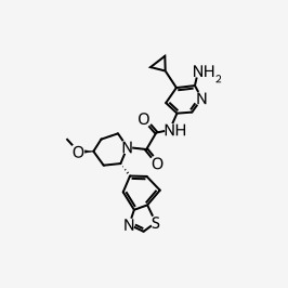 CO[C@H]1CCN(C(=O)C(=O)Nc2cnc(N)c(C3CC3)c2)[C@H](c2ccc3scnc3c2)C1